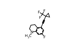 CN1CCCc2c(C#CC3(C(F)(F)F)CC3)cc(F)cc21